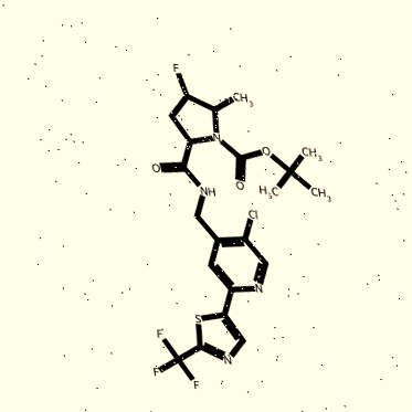 CC1C(F)CC(C(=O)NCc2cc(-c3cnc(C(F)(F)F)s3)ncc2Cl)N1C(=O)OC(C)(C)C